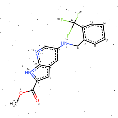 COC(=O)c1cc2cc(NCc3ccccc3C(F)(F)F)cnc2[nH]1